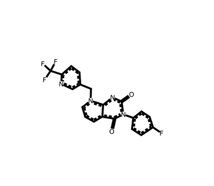 O=c1nc2n(Cc3ccc(C(F)(F)F)nc3)cccc-2c(=O)n1-c1ccc(F)cc1